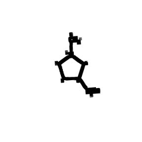 [CH2]N1CCC(NC)C1